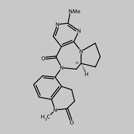 CNc1ncc2c(n1)N1CCC[C@H]1CN(c1cccc3c1CCC(=O)N3C)C2=O